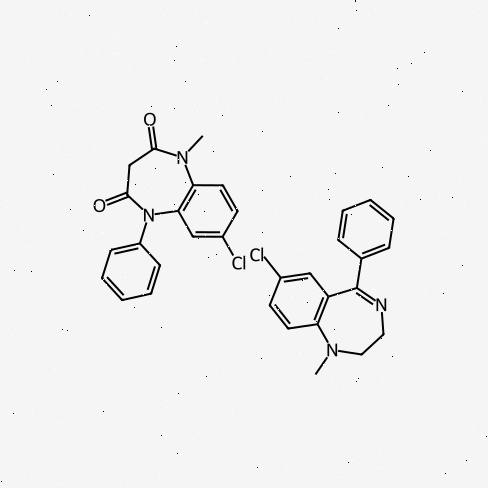 CN1C(=O)CC(=O)N(c2ccccc2)c2cc(Cl)ccc21.CN1CCN=C(c2ccccc2)c2cc(Cl)ccc21